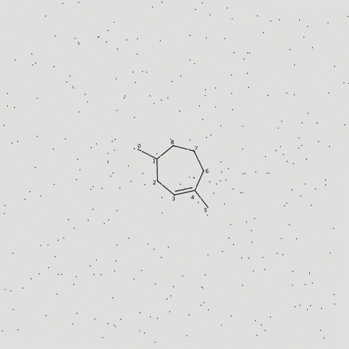 [CH2]C1CC=C(C)CCC1